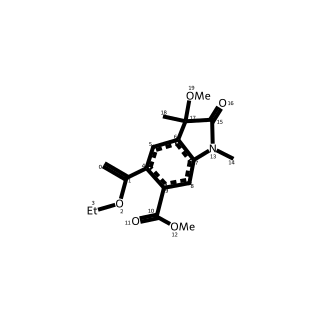 C=C(OCC)c1cc2c(cc1C(=O)OC)N(C)C(=O)C2(C)OC